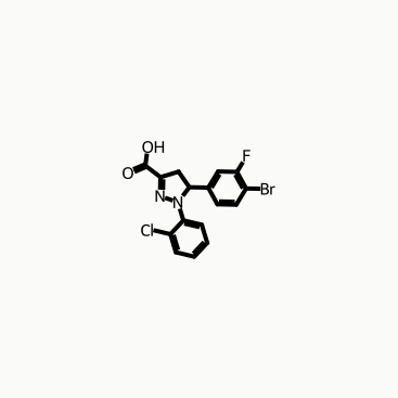 O=C(O)C1=NN(c2ccccc2Cl)C(c2ccc(Br)c(F)c2)C1